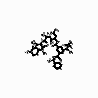 CC(C)CC(NC(=O)c1cc(C(=O)NC(C)c2ccccc2)cc(N(C)S(C)(=O)=O)c1)C(O)CC(C)C(=O)NC(C(=O)N(C)C1CCN(C)CC1)C(C)C